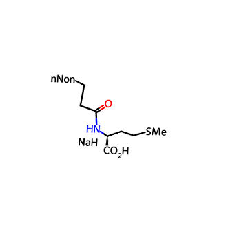 CCCCCCCCCCCC(=O)N[C@@H](CCSC)C(=O)O.[NaH]